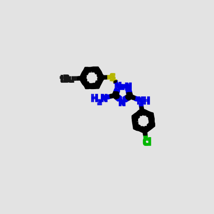 CC(C)(C)c1ccc(Sn2nc(Nc3ccc(Cl)cc3)nc2N)cc1